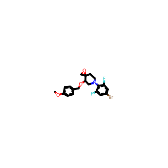 COc1ccc(COC2CN(c3c(F)cc(Br)cc3F)CCC23CO3)cc1